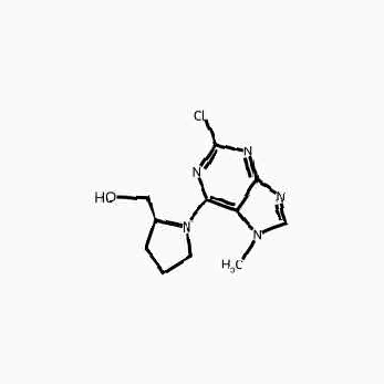 Cn1cnc2nc(Cl)nc(N3CCC[C@H]3CO)c21